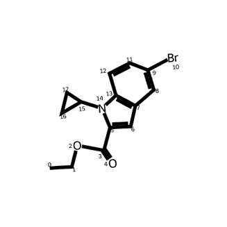 CCOC(=O)c1cc2cc(Br)ccc2n1C1CC1